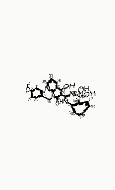 COc1ccc(Cn2c(=O)c(C3=NS(O)(O)c4ccccc4N3)c(O)c3cccnc32)cc1